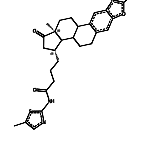 Cc1nc2cc3c(cc2o1)CCC1C3CC[C@]2(C)C(=O)C[C@@H](CCCC(=O)Nc3ncc(C)s3)C12